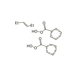 CCC=CCC.O=C(OO)c1ccccc1.O=C(OO)c1ccccc1